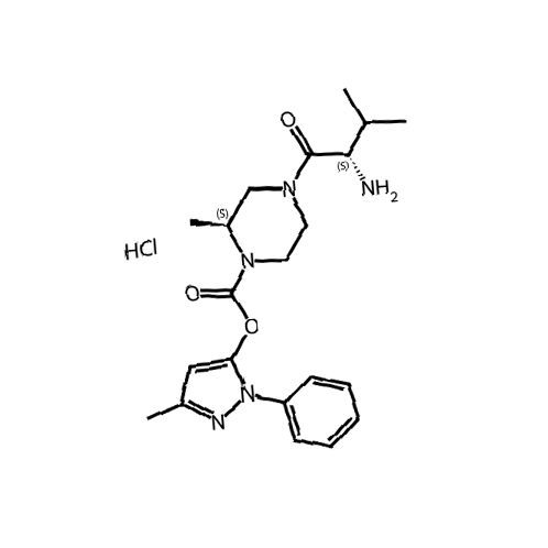 Cc1cc(OC(=O)N2CCN(C(=O)[C@@H](N)C(C)C)C[C@@H]2C)n(-c2ccccc2)n1.Cl